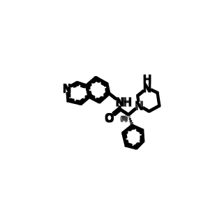 O=C(Nc1ccc2cnccc2c1)[C@@H](c1ccccc1)N1CCCNC1